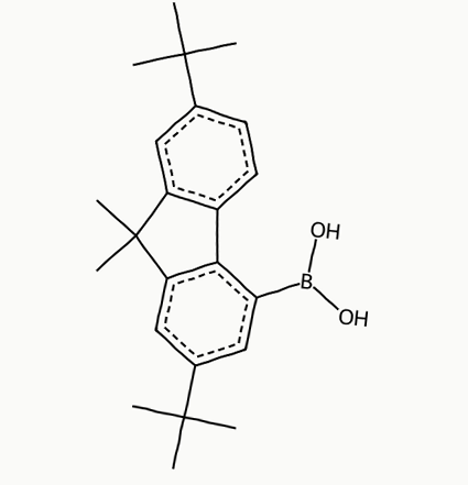 CC(C)(C)c1ccc2c(c1)C(C)(C)c1cc(C(C)(C)C)cc(B(O)O)c1-2